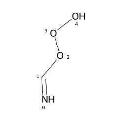 N=COOO